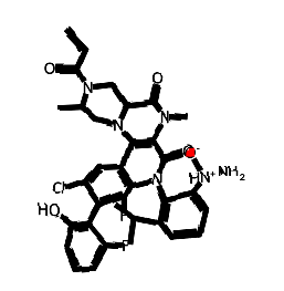 C=CC(=O)N1CC2C(=O)N(C)c3c(c4cc(Cl)c(-c5c(O)cccc5F)c(F)c4n(-c4c(C(C)C)cccc4[NH+](N)[O-])c3=O)N2CC1C